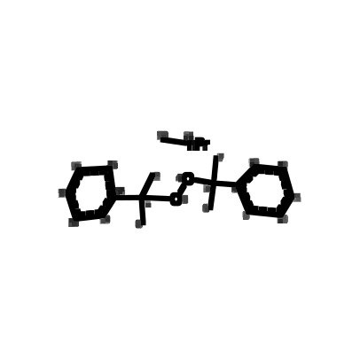 CC(C)(OOC(C)(C)c1ccccc1)c1ccccc1.CCCC